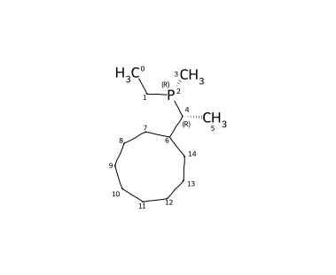 CC[P@](C)[C@H](C)C1CCCCCCCC1